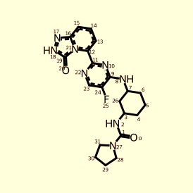 O=C(NC1CCCC(Nc2nc(-c3cccc4n[nH]c(=O)n34)ncc2F)C1)N1CCCC1